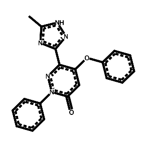 Cc1nc(-c2nn(-c3ccccc3)c(=O)cc2Oc2ccccc2)n[nH]1